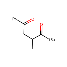 CC(C)C(=O)CC(C)C(=O)C(C)(C)C